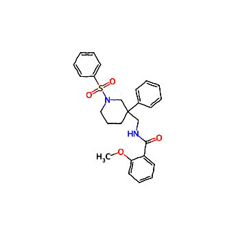 COc1ccccc1C(=O)NCC1(c2ccccc2)CCCN(S(=O)(=O)c2ccccc2)C1